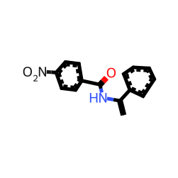 C=C(NC(=O)c1ccc([N+](=O)[O-])cc1)c1ccccc1